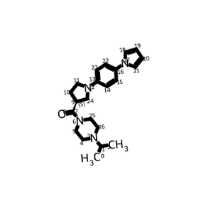 CC(C)N1CCN(C(=O)[C@H]2CCN(c3ccc(-n4cccc4)cc3)C2)CC1